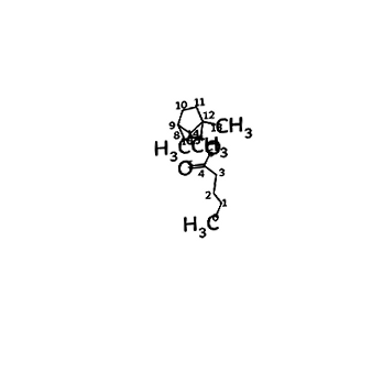 CCCCC(=O)O[C@@H]1CC2CCC1(C)C2(C)C